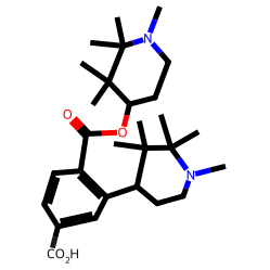 CN1CCC(OC(=O)c2ccc(C(=O)O)cc2C2CCN(C)C(C)(C)C2(C)C)C(C)(C)C1(C)C